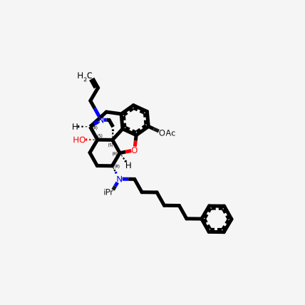 C=CCN1CC[C@]23c4c5ccc(OC(C)=O)c4O[C@H]2[C@H](N(CCCCCCc2ccccc2)C(C)C)CC[C@@]3(O)[C@H]1C5